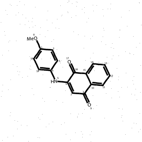 COc1ccc(NC2=CC(=O)c3ccccc3C2=O)cc1